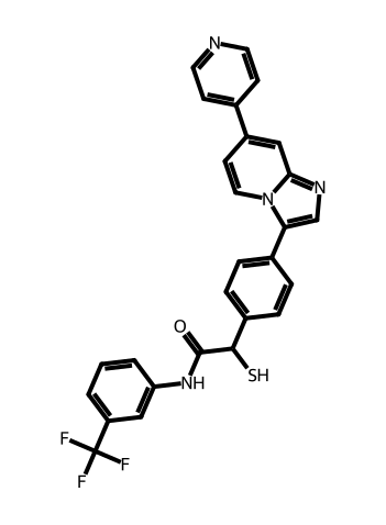 O=C(Nc1cccc(C(F)(F)F)c1)C(S)c1ccc(-c2cnc3cc(-c4ccncc4)ccn23)cc1